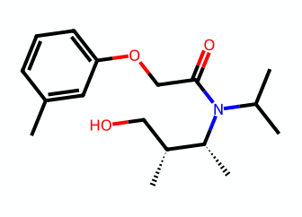 Cc1cccc(OCC(=O)N(C(C)C)[C@H](C)[C@H](C)CO)c1